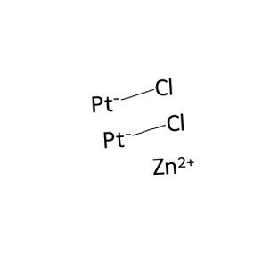 [Cl][Pt-].[Cl][Pt-].[Zn+2]